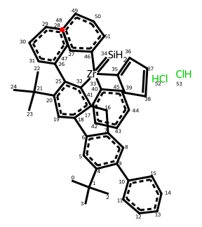 CC(C)(C)c1cc2c(cc1-c1ccccc1)Cc1c-2cc(C(C)(C)C)c(-c2ccccc2)[c]1[Zr](=[SiH2])([C]1=CC=CC1)([c]1ccccc1)[c]1ccccc1.Cl.Cl